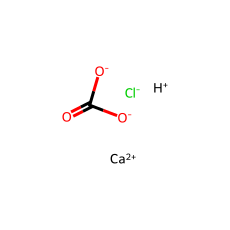 O=C([O-])[O-].[Ca+2].[Cl-].[H+]